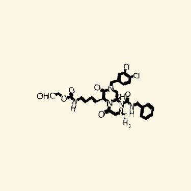 CN1CC(=O)N2[C@@H](CCCCNC(=O)OCC=O)C(=O)N(Cc3ccc(Cl)c(Cl)c3)C[C@@H]2N1C(=O)NCc1ccccc1